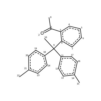 CC(=O)c1ccccc1C(C)(c1ccc(C)cc1)c1ccc(C)cc1